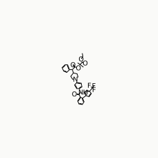 CCOC(=O)C(C)(C)OC(=O)C(c1ccccc1)C1CCN(c2ccc(NC(=O)c3ccccc3-c3ccc(C(F)(F)F)cc3)cc2)CC1